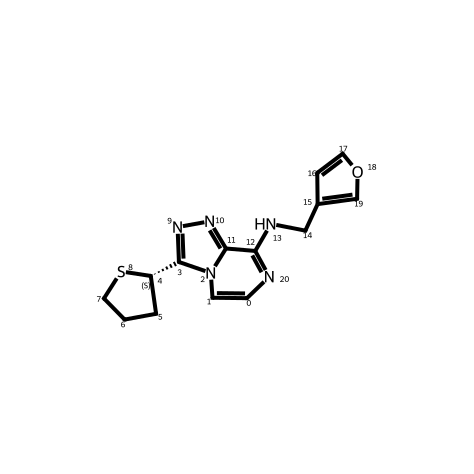 c1cn2c([C@@H]3CCCS3)nnc2c(NCc2ccoc2)n1